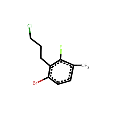 Fc1c(C(F)(F)F)ccc(Br)c1CCCCl